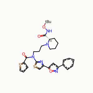 CC(C)(C)ONC(=O)[C@@H]1CCCCN1CCCN(C(=O)c1cccs1)c1nc(-c2cc(-c3ccccc3)no2)cs1